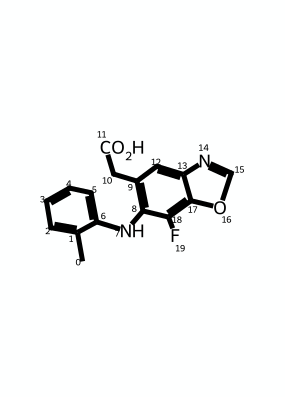 Cc1ccccc1Nc1c(CC(=O)O)cc2ncoc2c1F